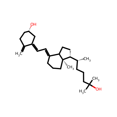 C=C1CC[C@H](O)C/C1=C\C=C1/CCC[C@@]2(C)C1CC[C@@H]2[C@H](C)CCCC(C)(C)O